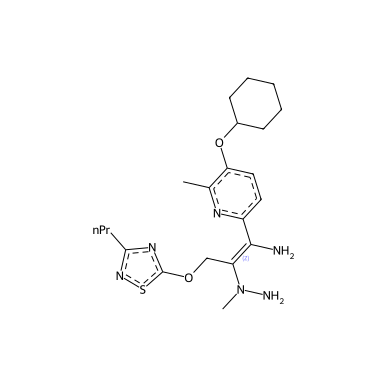 CCCc1nsc(OC/C(=C(/N)c2ccc(OC3CCCCC3)c(C)n2)N(C)N)n1